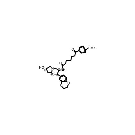 COc1ccc(C(=O)CCCCCC(=O)N[C@H](CN2CC[C@H](O)C2)[C@H](O)c2ccc3c(c2)OCCO3)cc1